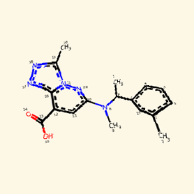 Cc1cccc(C(C)N(C)c2cc(C(=O)O)c3nnc(C)n3n2)c1